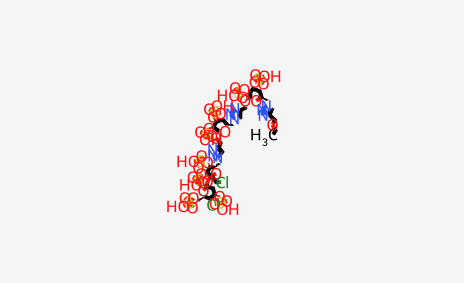 CCOCc1cn(C[C@@H]2C[C@H](OS(=O)(=O)O)[C@H](OS(=O)(=O)O)[C@@H](OCc3cn(C[C@@H]4C[C@H](OS(=O)(=O)O)[C@H](OS(=O)(=O)O)[C@@H](OCc5cn(C[C@H]6OC(CCl)(OC7C[C@@H](OS(=O)(=O)O)[C@@H](Cl)[C@@H](COS(=O)(=O)O)O7)[C@@H](OS(=O)(=O)O)[C@@H]6OS(=O)(=O)O)nn5)O4)nn3)O2)nn1